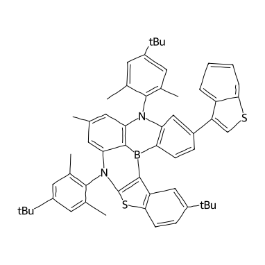 Cc1cc2c3c(c1)N(c1c(C)cc(C(C)(C)C)cc1C)c1sc4ccc(C(C)(C)C)cc4c1B3c1ccc(-c3csc4ccccc34)cc1N2c1c(C)cc(C(C)(C)C)cc1C